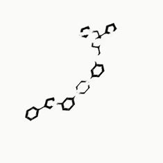 c1ccc(-c2ccn(-c3cccc(N4CCN(c5cccc(OCC6COC(Cn7ccnc7)(c7cccs7)O6)c5)CC4)c3)c2)cc1